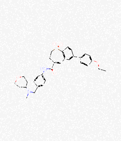 CCOc1ccc(-c2ccc3c(c2)C=C(C(=O)Nc2ccc(CN(C)C4CCOCC4)cc2)CCS3(=O)=O)cc1